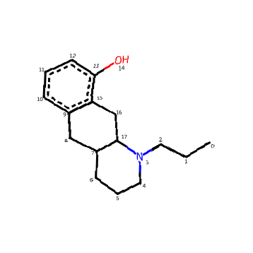 CCCN1CCCC2Cc3cccc(O)c3CC21